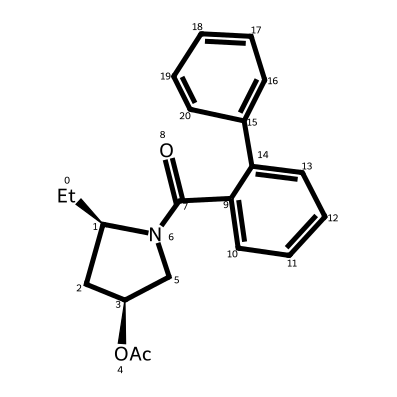 CC[C@@H]1C[C@H](OC(C)=O)CN1C(=O)c1ccccc1-c1ccccc1